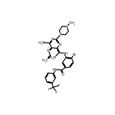 C=C/N=C1/C(N)=NC(N2CCN(C)CC2)=N/C1=C(/N)Nc1cc(C(=O)Nc2cccc(C(F)(F)F)c2)ccc1Br